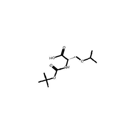 CC(C)OC[C@H](NC(=O)OC(C)(C)C)C(=O)O